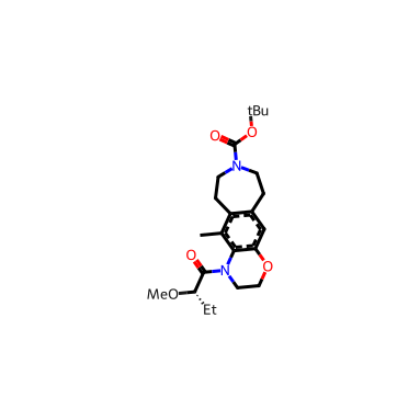 CC[C@H](OC)C(=O)N1CCOc2cc3c(c(C)c21)CCN(C(=O)OC(C)(C)C)CC3